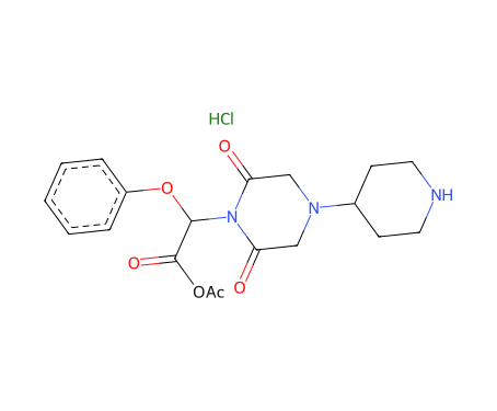 CC(=O)OC(=O)C(Oc1ccccc1)N1C(=O)CN(C2CCNCC2)CC1=O.Cl